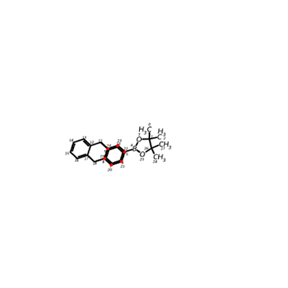 CC1(C)OB(c2ccc3c(c2)C2c4ccccc4C3c3ccccc32)OC1(C)C